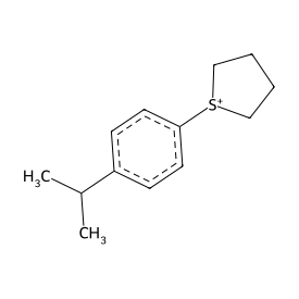 CC(C)c1ccc([S+]2CCCC2)cc1